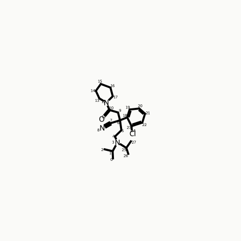 CC(C)N(CCC(C#N)(CC(=O)N1CCCCC1)c1ccccc1Cl)C(C)C